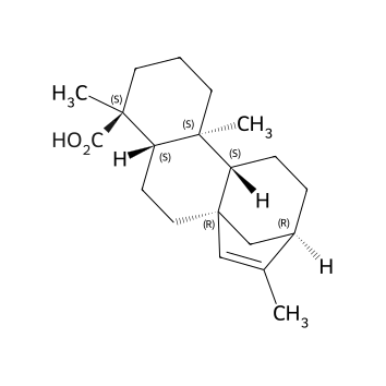 CC1=C[C@@]23CC[C@H]4[C@@](C)(CCC[C@]4(C)C(=O)O)[C@@H]2CC[C@@H]1C3